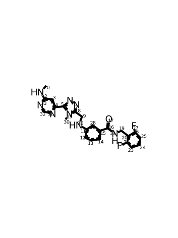 CNc1cc(-c2nnc(CNc3cccc(C(=O)NCc4c(F)cccc4F)c3)n2C)ncn1